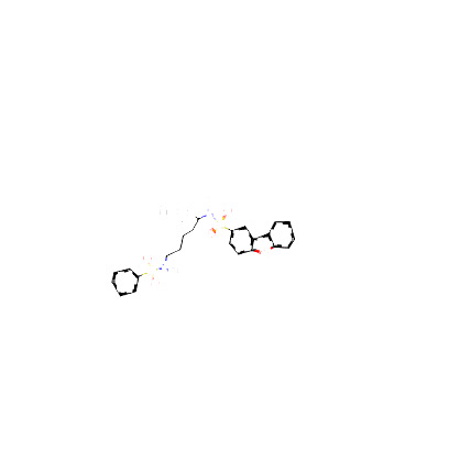 O=C(O)C(CCCCNS(=O)(=O)c1ccccc1)NS(=O)(=O)c1ccc2oc3ccccc3c2c1